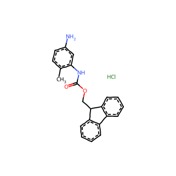 Cc1ccc(N)cc1NC(=O)OCC1c2ccccc2-c2ccccc21.Cl